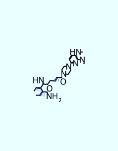 C=Nc1nc(N2CCN(C(=O)/C=C/CCC(=N)C(=C/C)/C(=C\C)C(N)=O)CC2)ccc1NC